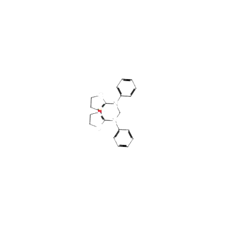 c1ccc(N(CN(C2=NCCO2)c2ccccc2)C2=NCCO2)cc1